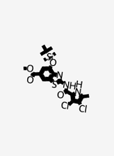 COC(=O)c1cc(O[Si](C)(C)C(C)(C)C)c2nc(NC(=O)c3[nH]c(C)c(Cl)c3Cl)sc2c1